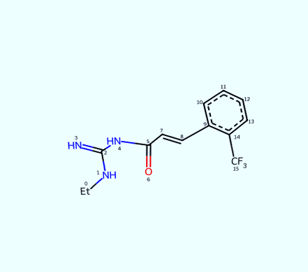 CCNC(=N)NC(=O)C=Cc1ccccc1C(F)(F)F